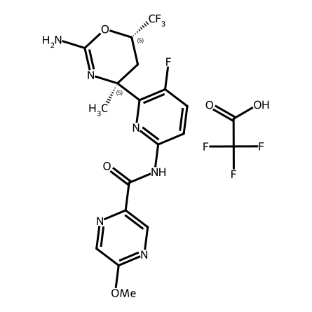 COc1cnc(C(=O)Nc2ccc(F)c([C@]3(C)C[C@@H](C(F)(F)F)OC(N)=N3)n2)cn1.O=C(O)C(F)(F)F